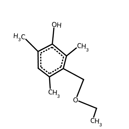 CCOCc1c(C)cc(C)c(O)c1C